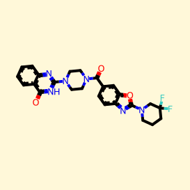 O=C(c1ccc2nc(N3CCCC(F)(F)C3)oc2c1)N1CCN(c2nc3ccccc3c(=O)[nH]2)CC1